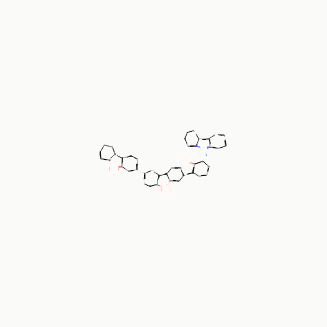 c1ccc2c(c1)oc1cc(-c3ccc4oc5cc6c(cc5c4c3)oc3c(-n4c5ccccc5c5ccccc54)cccc36)ccc12